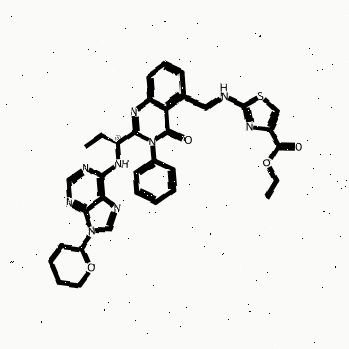 CCOC(=O)c1csc(NCc2cccc3nc([C@H](CC)Nc4ncnc5c4ncn5C4CCCCO4)n(-c4ccccc4)c(=O)c23)n1